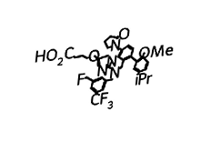 COc1ccc(C(C)C)cc1-c1ccc(N2CCCC2=O)cc1CN(Cc1cc(CF)cc(C(F)(F)F)c1)c1ncc(OCCCC(=O)O)cn1